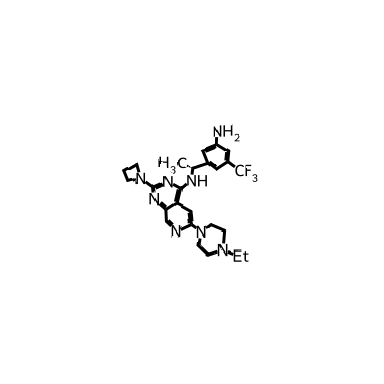 CCN1CCN(c2cc3c(N[C@H](C)c4cc(N)cc(C(F)(F)F)c4)nc(N4CCC4)nc3cn2)CC1